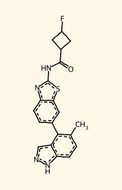 Cc1ccc2[nH]ncc2c1-c1ccc2nc(NC(=O)C3CC(F)C3)sc2c1